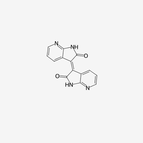 O=C1Nc2ncccc2C1=C1C(=O)Nc2ncccc21